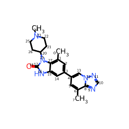 Cc1cc(-c2cc(C)c3ncnn3c2)cc2[nH]c(=O)n(C3CCN(C)CC3)c12